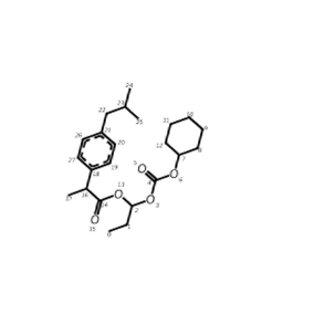 CCC(OC(=O)OC1CCCCC1)OC(=O)C(C)c1ccc(CC(C)C)cc1